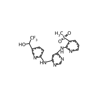 CS(=O)(=O)c1cccnc1Nc1cc(Nc2ccc(C(O)C(F)(F)F)cn2)ncn1